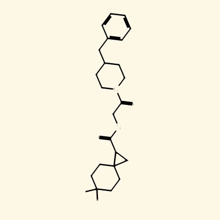 O=C(NCC(=O)N1CCC(Cc2ccccc2)CC1)C1CC12CCC(F)(F)CC2